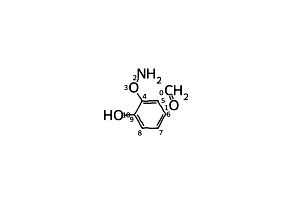 C=O.NOc1ccccc1O